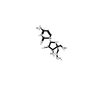 COC[C@]1(CO)O[C@@H](n2ccc(N)nc2=O)[C@H](F)[C@@H]1O